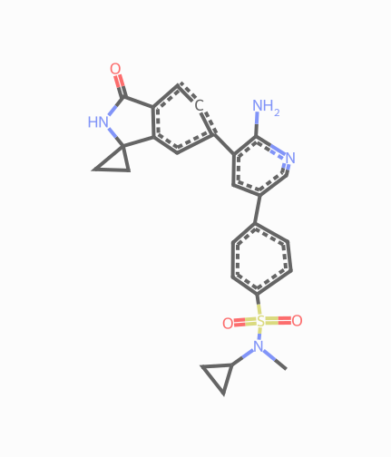 CN(C1CC1)S(=O)(=O)c1ccc(-c2cnc(N)c(-c3ccc4c(c3)C3(CC3)NC4=O)c2)cc1